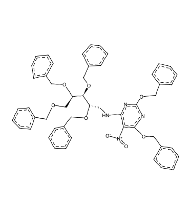 O=[N+]([O-])c1c(NC[C@H](OCc2ccccc2)[C@H](OCc2ccccc2)[C@@H](COCc2ccccc2)OCc2ccccc2)nc(OCc2ccccc2)nc1OCc1ccccc1